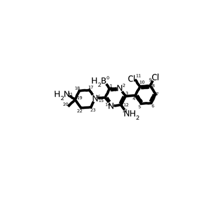 Bc1nc(-c2cccc(Cl)c2Cl)c(N)nc1N1CCC(C)(N)CC1